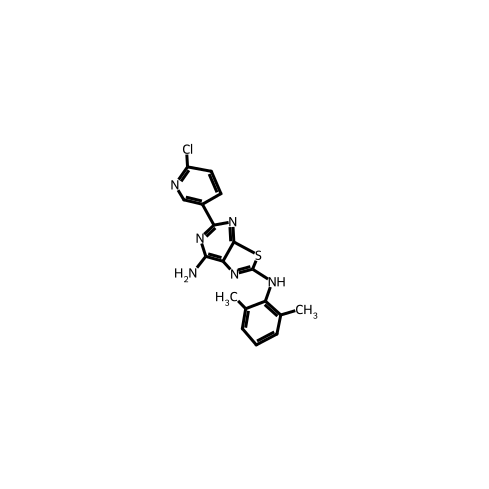 Cc1cccc(C)c1Nc1nc2c(N)nc(-c3ccc(Cl)nc3)nc2s1